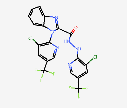 O=C(NNc1ncc(C(F)(F)F)cc1Cl)c1nc2ccccc2n1-c1ncc(C(F)(F)F)cc1Cl